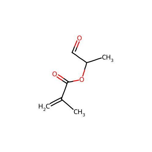 C=C(C)C(=O)OC(C)C=O